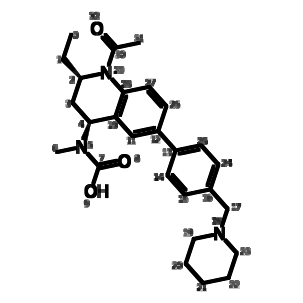 CC[C@@H]1C[C@H](N(C)C(=O)O)c2cc(-c3ccc(CN4CCCCC4)cc3)ccc2N1C(C)=O